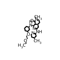 CCOCCOc1cccc(Nc2nc(Nc3cc(C)ccn3)cc3ccn(C)c(=O)c23)c1